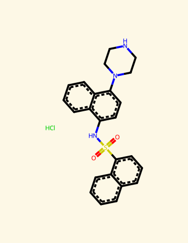 Cl.O=S(=O)(Nc1ccc(N2CCNCC2)c2ccccc12)c1cccc2ccccc12